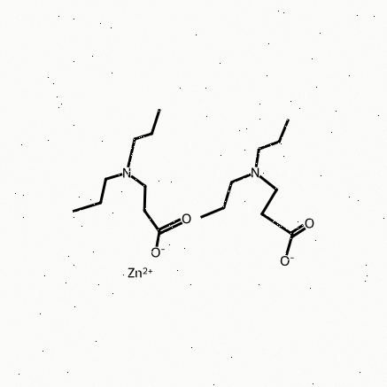 CCCN(CCC)CCC(=O)[O-].CCCN(CCC)CCC(=O)[O-].[Zn+2]